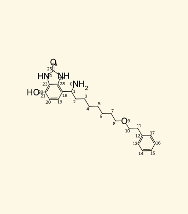 NC(CCCCCCCOCCc1ccccc1)c1ccc(O)c2[nH]c(=O)[nH]c12